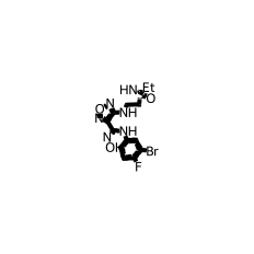 CCS(=N)(=O)CCNc1nonc1/C(=N/O)Nc1ccc(F)c(Br)c1